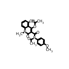 COc1ccc(N(C(C)=O)C(=O)c2c(OC(C)=O)c3c(C)cccc3n(C)c2=O)cc1